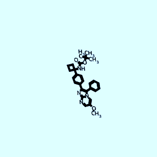 COc1cnc2nc(-c3ccc(C4(NC(=O)OC(C)(C)C)CCC4)cc3)c(-c3ccccc3)n2c1